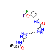 CC(C)COC(=O)NCc1cn(CCCCn2cc(C(=O)NCc3cccc(OC(C)(F)I)c3)nn2)nn1